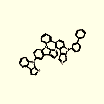 C1=NCc2c1c1cc(-c3ccccc3-n3c4c(c5cc(-n6c7c(c8ccccc86)=CC=[N+]=7)ccc53)=CC=[N+]=4)ccc1n2-c1cccc(-c2ccccc2)c1